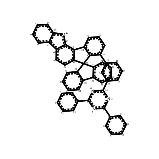 c1ccc(-c2nc(-c3ccccc3)nc(-c3cccc(-c4cccc5c4C4(c6ccccc6-c6ccccc64)c4ccc6c(oc7ccccc76)c4-5)c3)n2)cc1